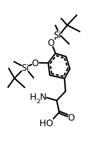 CC(C)(C)[Si](C)(C)Oc1ccc(CC(N)C(=O)O)cc1O[Si](C)(C)C(C)(C)C